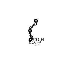 O=C(O)Cc1cc(C(=O)O)ccc1OCCCc1ccc(OCCCCOC2CCCCC2)cc1